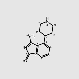 CC1=NC(=O)c2cccc(C3CCNCC3)c21